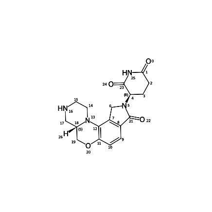 O=C1CC[C@@H](N2Cc3c(ccc4c3N3CCNC[C@H]3CO4)C2=O)C(=O)N1